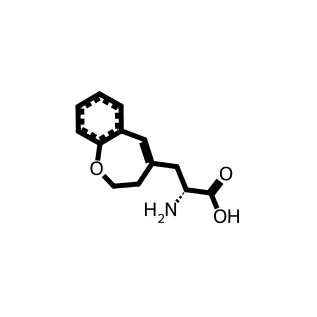 N[C@H](CC1=Cc2ccccc2OCC1)C(=O)O